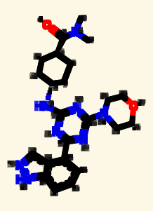 CN(C)C(=O)[C@H]1CC[C@H](Nc2nc(-c3cccc4[nH]ncc34)nc(N3CCOCC3)n2)CC1